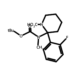 CN(C(=O)OC(C)(C)C)C1(c2ccccc2F)CCCCN1C(=O)O